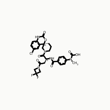 CN(C(=O)O)c1ccc(C(=O)N[C@@H](CC(=O)N2CC(F)(F)C2)C(=O)N2CCC[C@@]3(C2)OC(=O)Nc2ccc(Cl)cc23)cc1